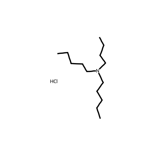 CCCCCN(CCCC)CCCCC.Cl